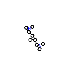 C1=CCC2C(=C1)C1=C(C=C(C3=CC4=C(CC3)C3=CC=C(c5ccc6c7ccccc7n(-c7ccccc7)c6c5)CC3C43CCCCC3)CC1)N2c1ccccc1